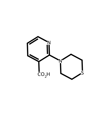 O=C(O)c1cccnc1N1CCSCC1